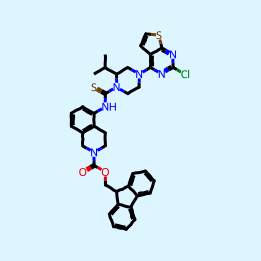 CC(C)C1CN(c2nc(Cl)nc3sccc23)CCN1C(=S)Nc1cccc2c1CCN(C(=O)OCC1c3ccccc3-c3ccccc31)C2